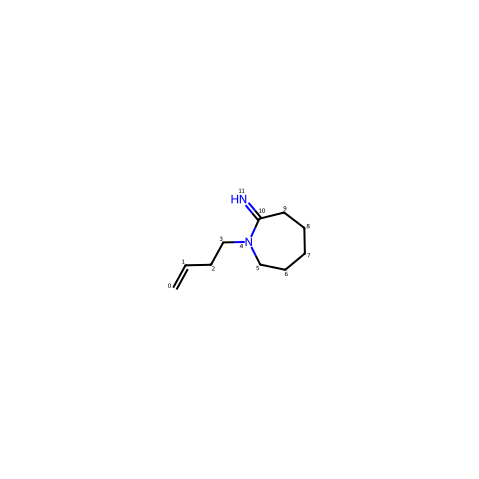 C=CCCN1CCCCCC1=N